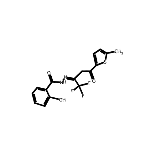 Cc1ccc(C(=O)CC(=NNC(=O)c2ccccc2O)C(F)(F)F)s1